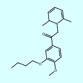 CCCCOc1cc(C(=O)CN2C(C)=CC=CC2C)ccc1OC